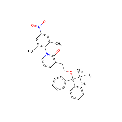 Cc1cc([N+](=O)[O-])cc(C)c1-n1cccc(CCO[Si](c2ccccc2)(c2ccccc2)C(C)(C)C)c1=O